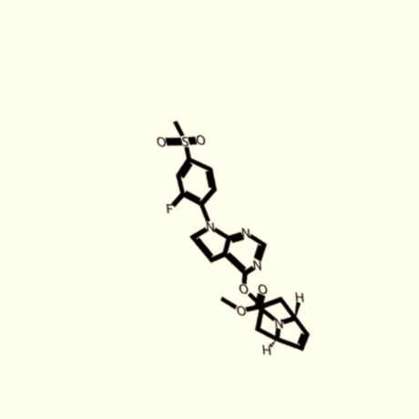 COC(=O)N1[C@H]2C=C[C@H]1CC(Oc1ncnc3c1ccn3-c1ccc(S(C)(=O)=O)cc1F)C2